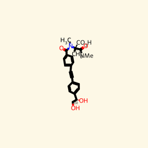 CNC(=O)[C@@](C)(C(=O)O)N(C)C(=O)c1ccc(C#Cc2ccc([C@H](O)CO)cc2)cc1